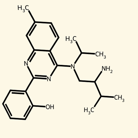 Cc1ccc2c(N(CC(N)C(C)C)C(C)C)nc(-c3ccccc3O)nc2c1